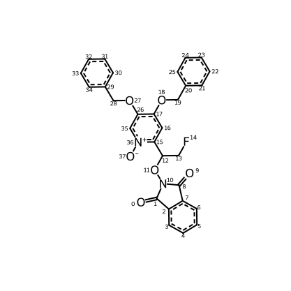 O=C1c2ccccc2C(=O)N1OC(CF)c1cc(OCc2ccccc2)c(OCc2ccccc2)c[n+]1[O-]